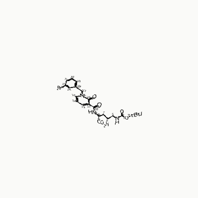 CC(C)(C)OC(=O)NCCC[C@H](NC(=O)c1cccn(Cc2cccc(Br)c2)c1=O)C(=O)O